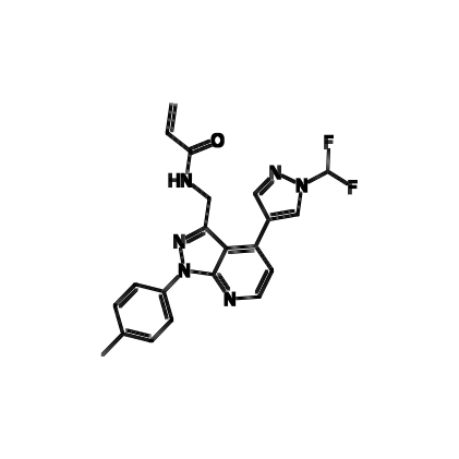 C=CC(=O)NCc1nn(-c2ccc(C)cc2)c2nccc(-c3cnn(C(F)F)c3)c12